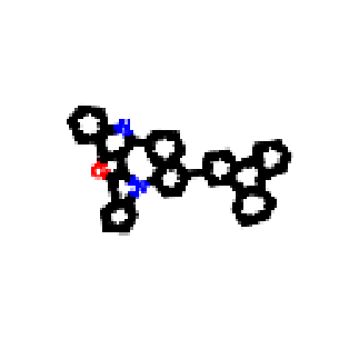 c1ccc(-c2nc3ccccc3c3oc4c5ccccc5n(-c5ccc(-c6ccc7c8ccccc8c8ccccc8c7c6)cc5)c4c23)cc1